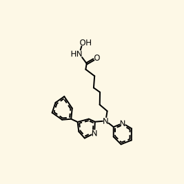 O=C(CCCCCCN(c1ccccn1)c1cc(-c2ccccc2)ccn1)NO